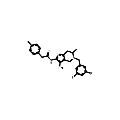 Cc1ccc(CC(=O)Nc2sc3c(c2C#N)CN(Cc2cc(F)cc(F)c2)C(C)C3)cc1